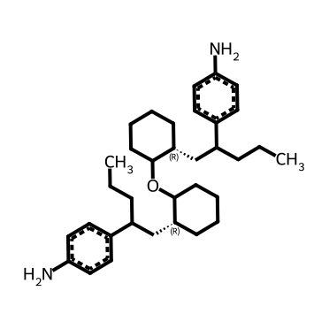 CCCC(C[C@H]1CCCCC1OC1CCCC[C@@H]1CC(CCC)c1ccc(N)cc1)c1ccc(N)cc1